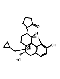 Cl.O=C1CCCN1[C@@H]1CC[C@@]2(O)[C@H]3Cc4ccc(O)c5c4[C@@]2(CCN3CC2CC2)[C@H]1O5